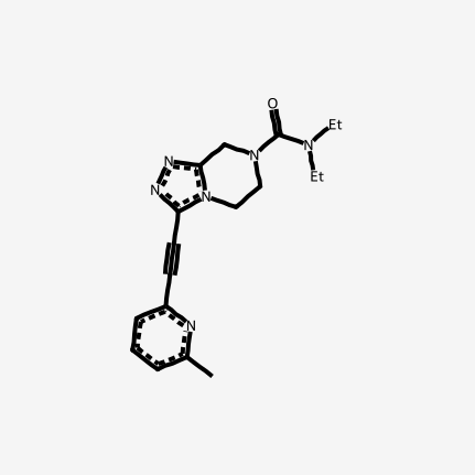 CCN(CC)C(=O)N1CCn2c(C#Cc3cccc(C)n3)nnc2C1